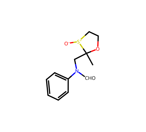 CC1(CN(C=O)c2ccccc2)OCC[S+]1[O-]